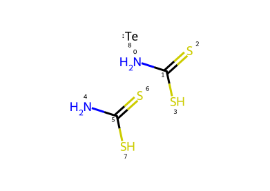 NC(=S)S.NC(=S)S.[Te]